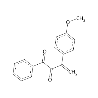 C=C(C(=O)C(=O)c1ccccc1)c1ccc(OC)cc1